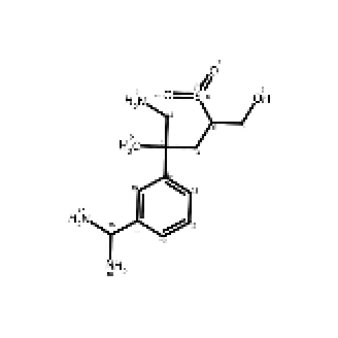 CC([CH]N)(CC(CO)[SH](=O)=O)c1cccc(C(N)N)c1